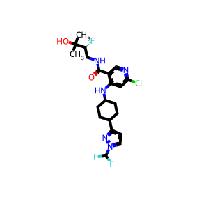 CC(C)(O)[C@H](F)CNC(=O)c1cnc(Cl)cc1NC1CCC(c2ccn(C(F)F)n2)CC1